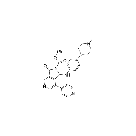 CN1CCN(c2ccc(NC3c4c(cncc4-c4ccncc4)C(=O)N3C(=O)OC(C)(C)C)cc2)CC1